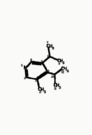 Cc1cncc(C(C)C)c1C(C)C